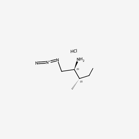 CC[C@H](C)[C@H](N)CN=[N+]=[N-].Cl